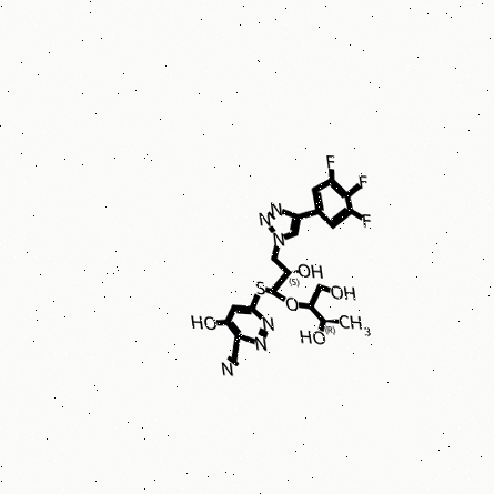 C[C@@H](O)C(CO)OC(Sc1cc(O)c(C#N)nn1)[C@@H](O)Cn1cc(-c2cc(F)c(F)c(F)c2)nn1